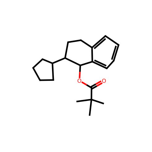 CC(C)(C)C(=O)OC1c2ccccc2CCC1C1CCCC1